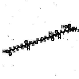 CN[C@@H](CCCCNC(=O)CCC(=O)NCCCOCCOCCCNC(=O)CCCCCCCCC(=O)O)C(=O)O